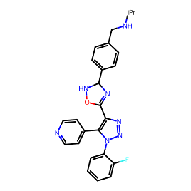 CC(C)NCc1ccc(C2N=C(c3nnn(-c4ccccc4F)c3-c3ccncc3)ON2)cc1